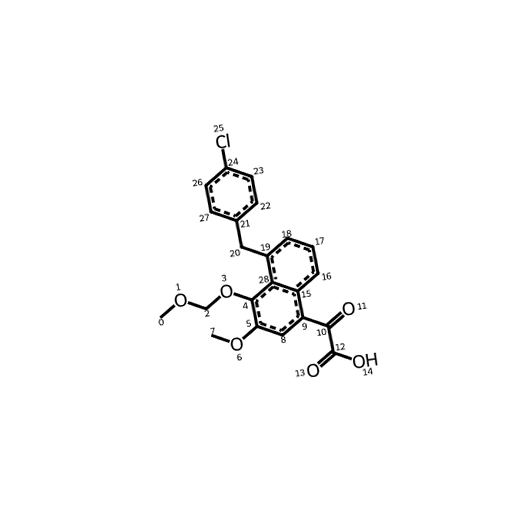 COCOc1c(OC)cc(C(=O)C(=O)O)c2cccc(Cc3ccc(Cl)cc3)c12